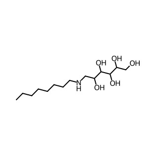 CCCCCCCCNCC(O)C(O)C(O)C(O)CO